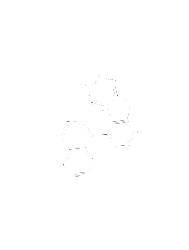 c1cnc2c(-c3nccc4oc5ncncc5c34)cccc2c1